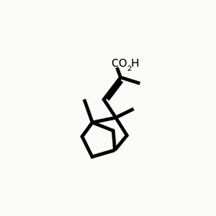 CC(=CC1(C)CC2CCC1(C)C2)C(=O)O